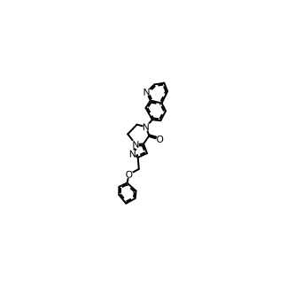 O=C1c2cc(COc3ccccc3)nn2CCN1c1ccc2cccnc2c1